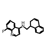 Fc1cccc2c(NCC3CC=Cc4ccccc43)ccnc12